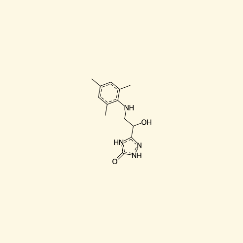 Cc1cc(C)c(NCC(O)c2n[nH]c(=O)[nH]2)c(C)c1